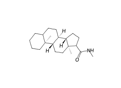 CNC(=O)C1CC[C@H]2[C@@H]3CCC4CCCC[C@]4(C)[C@H]3CC[C@]12C